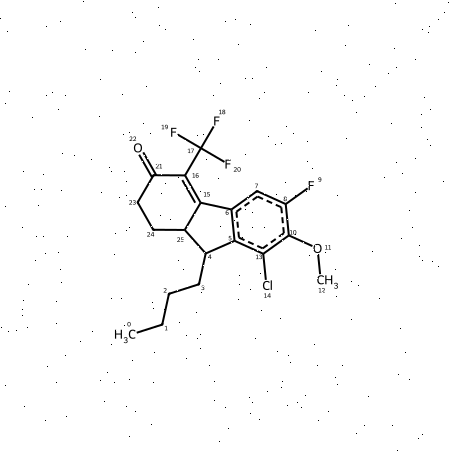 CCCCC1c2c(cc(F)c(OC)c2Cl)C2=C(C(F)(F)F)C(=O)CCC21